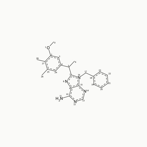 COc1cc(C(C)c2nc3c(N)ncnc3n2Cc2ccccc2)cc(C)c1C